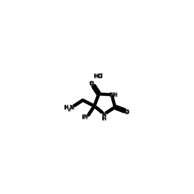 CC(C)C1(CN)NC(=O)NC1=O.Cl